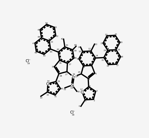 Cc1ccc(C2=Cc3c(cc(C)c(C)c3-c3cccc4ccccc34)[CH]2[Zr+2]([CH]2C(c3ccc(C)o3)=Cc3c2cc(C)c(C)c3-c2cccc3ccccc23)=[Si](C)C)o1.[Cl-].[Cl-]